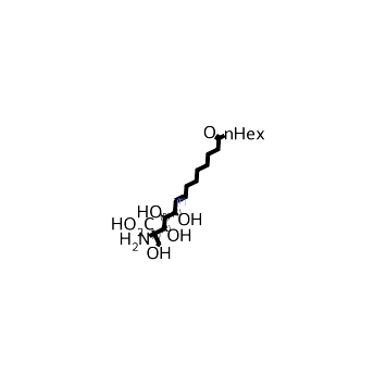 CCCCCCC(=O)CCCCCC/C=C/[C@H](O)[C@@H](O)[C@H](O)[C@@](N)(CO)C(=O)O